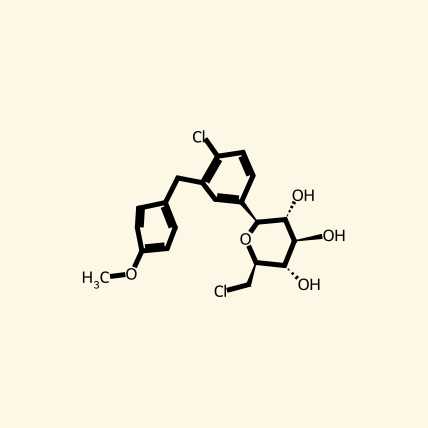 COc1ccc(Cc2cc([C@@H]3O[C@H](CCl)[C@@H](O)[C@H](O)[C@H]3O)ccc2Cl)cc1